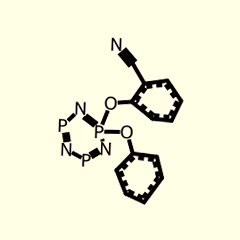 N#Cc1ccccc1OP1(Oc2ccccc2)=NP=NP=N1